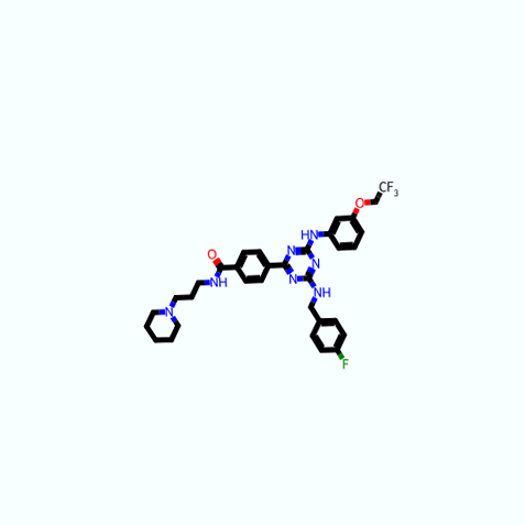 O=C(NCCCN1CCCCC1)c1ccc(-c2nc(NCc3ccc(F)cc3)nc(Nc3cccc(OCC(F)(F)F)c3)n2)cc1